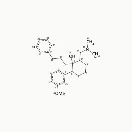 COc1cccc(C2CCCC(CN(C)C)C2(O)CCCc2ccccc2)c1